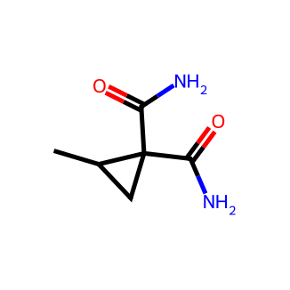 CC1CC1(C(N)=O)C(N)=O